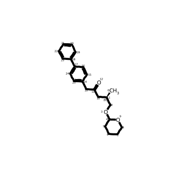 C[C@@H](COC1CCCCO1)CC(=O)Cc1ccc(-c2ccccc2)cc1